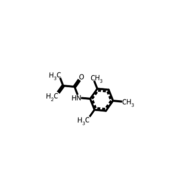 C=C(C)C(=O)Nc1c(C)cc(C)cc1C